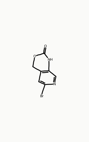 O=C1Nc2cnc(Br)cc2CO1